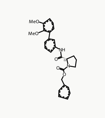 COc1cccc(-c2cccc(NC(=O)[C@@H]3CCCN3C(=O)OCc3ccccc3)c2)c1OC